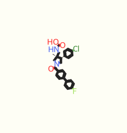 C[C@@]1(CNC(=O)O)CN(C(=O)c2ccc(-c3ccc(F)cc3)cc2)C[C@H]1c1ccc(Cl)cc1